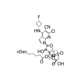 CCCCCCCCCCCCCCC(=O)OCOP(=O)(O)CS(=O)(=O)C[C@H]1O[C@@H](n2ccc3c(N[C@H]4C[C@@H](F)C4)c(C#N)c(Cl)nc32)[C@H](O)[C@@H]1O